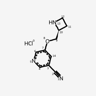 Cl.N#Cc1cncc(OC[C@@H]2CCN2)c1